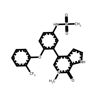 Cn1cc(-c2cc(NS(C)(=O)=O)ccc2Oc2ccccc2C(F)(F)F)c2cc[nH]c2c1=O